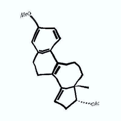 COc1ccc2c(c1)CCC1=C2CC[C@@]2(C)C1=CC[C@H]2OC(C)=O